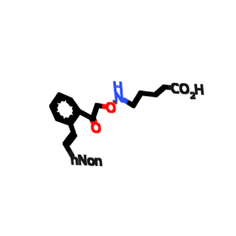 CCCCCCCCCC=Cc1ccccc1C(=O)CONCCCCC(=O)O